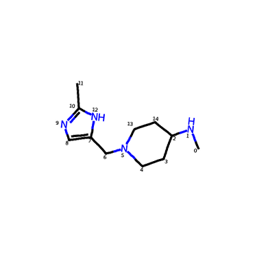 CNC1CCN(Cc2cnc(C)[nH]2)CC1